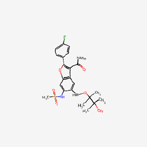 CNC(=O)c1c(-c2ccc(F)cc2)oc2cc(NS(C)(=O)=O)c(BOC(C)(C)C(C)(C)O)cc12